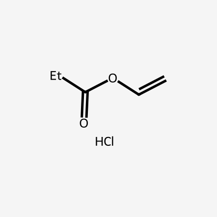 C=COC(=O)CC.Cl